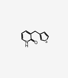 O=c1[nH]cccc1Cc1ccsc1